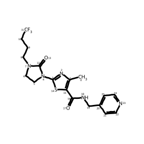 Cc1nc(N2CCN(CCCC(F)(F)F)C2=O)sc1C(=O)NCc1ccncc1